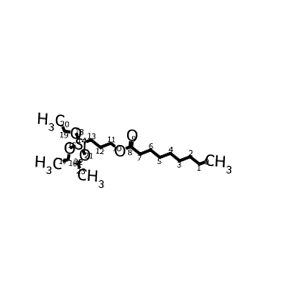 CCCCCCCCC(=O)OCCC[Si](OCC)(OCC)OCC